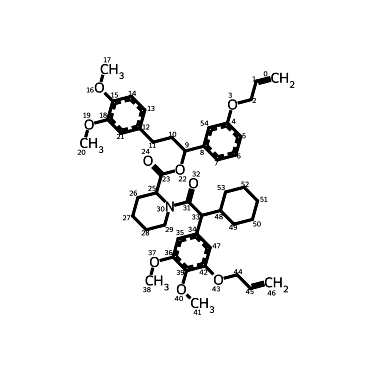 C=CCOc1cccc(C(CCc2ccc(OC)c(OC)c2)OC(=O)C2CCCCN2C(=O)C(c2cc(OC)c(OC)c(OCC=C)c2)C2CCCCC2)c1